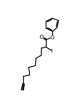 C#CCCCCCCCC(I)C(=O)Oc1ccccc1